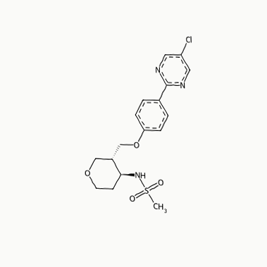 CS(=O)(=O)N[C@H]1CCOC[C@@H]1COc1ccc(-c2ncc(Cl)cn2)cc1